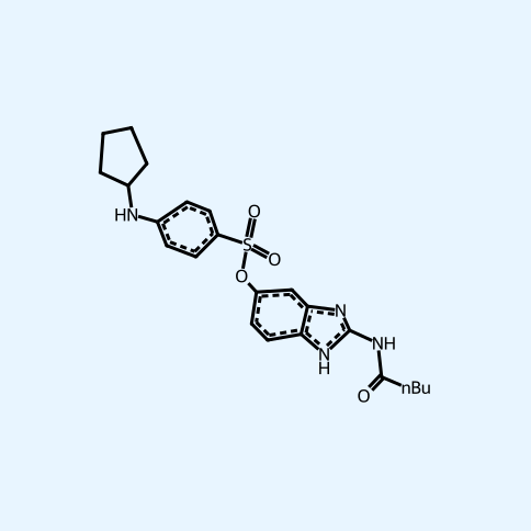 CCCCC(=O)Nc1nc2cc(OS(=O)(=O)c3ccc(NC4CCCC4)cc3)ccc2[nH]1